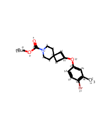 CC(C)(C)OC(=O)N1CCC2(CC1)CC(Oc1ccc(Br)c(C(F)(F)F)c1)C2